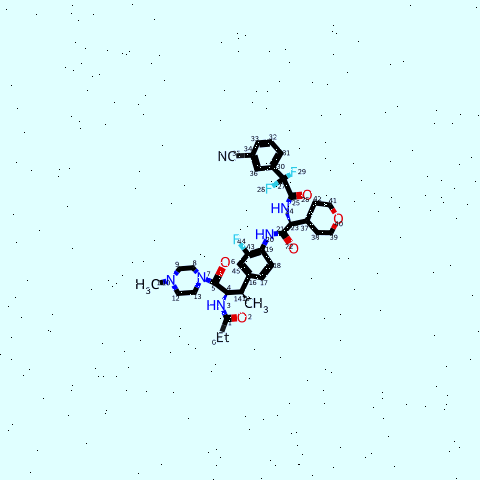 CCC(=O)N[C@@H](C(=O)N1CCN(C)CC1)[C@@H](C)c1ccc(NC(=O)[C@@H](NC(=O)C(F)(F)c2cccc(C#N)c2)C2CCOCC2)c(F)c1